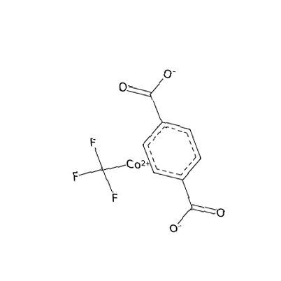 F[C](F)(F)[Co+2].O=C([O-])c1ccc(C(=O)[O-])cc1